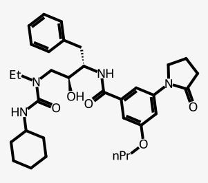 CCCOc1cc(C(=O)N[C@@H](Cc2ccccc2)[C@@H](O)CN(CC)C(=O)NC2CCCCC2)cc(N2CCCC2=O)c1